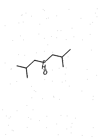 CC(C)C[PH](=O)CC(C)C